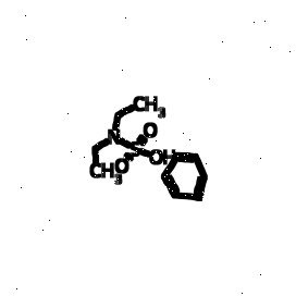 CCN(CC)S(=O)(=O)O.c1ccccc1